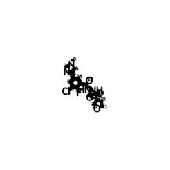 Cn1cnc(-c2cc(Cl)c(F)c(C(=O)NNS(=O)(=O)C3CCOC3)c2)c1